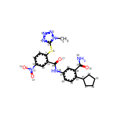 Cn1nnnc1Sc1ccc([N+](=O)[O-])cc1C(=O)Nc1ccc(C2CCCC2)c(C(N)=O)c1